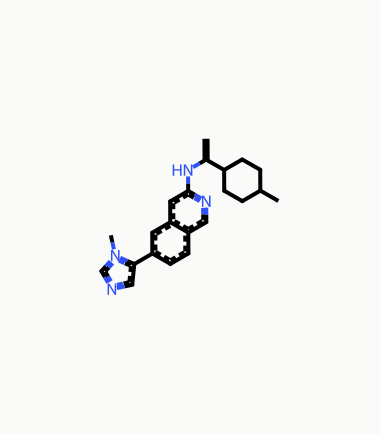 C=C(Nc1cc2cc(-c3cncn3C)ccc2cn1)C1CCC(C)CC1